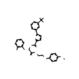 COc1ccc(NCCNC(=O)[C@H](Cc2ccccc2Cl)NC(=O)c2ccc(-c3cccc(C(F)(F)F)c3)o2)cc1